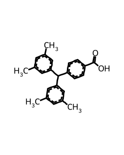 Cc1cc(C)cc(C(c2ccc(C(=O)O)cc2)c2cc(C)cc(C)c2)c1